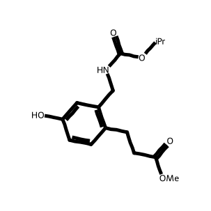 COC(=O)CCc1ccc(O)cc1CNC(=O)OC(C)C